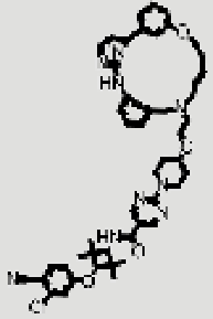 CC1(C)[C@H](NC(=O)c2cnc(N3CCC(OCCN4C/C=C/CCOc5cccc(c5)-c5ccnc(n5)Nc5cccc(c5)C4)CC3)nc2)C(C)(C)[C@H]1Oc1ccc(C#N)c(Cl)c1